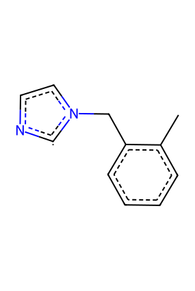 Cc1ccccc1Cn1[c]ncc1